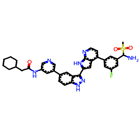 CS(=O)(=O)C(N)c1cc(F)cc(-c2ccnc3[nH]c(-c4n[nH]c5ccc(-c6cncc(NC(=O)CC7CCCCC7)c6)cc45)cc23)c1